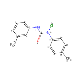 O=C(Nc1cccc(C(F)(F)F)c1)N(Cl)c1ccc(C(F)(F)F)cc1